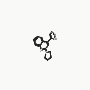 c1ccc2c(-c3cnn[nH]3)cc(N3CCCC3)nc2c1